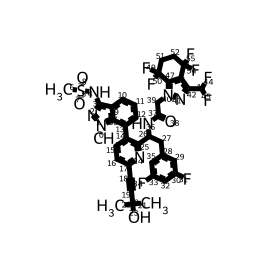 Cn1nc(NS(C)(=O)=O)c2cccc(-c3ccc(C#CC(C)(C)O)nc3C(Cc3cc(F)cc(F)c3)NC(=O)Cn3nc(C(F)F)c4c3C(F)(F)CCC4(F)F)c21